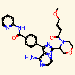 COC/C=C/C(=O)N1CCOCC1c1nc(-c2ccc(C(=O)Nc3ccccn3)cc2)c2c(N)nccn12